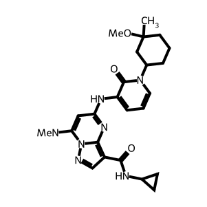 CNc1cc(Nc2cccn(C3CCCC(C)(OC)C3)c2=O)nc2c(C(=O)NC3CC3)cnn12